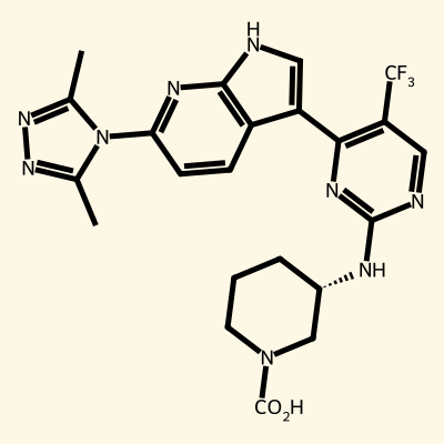 Cc1nnc(C)n1-c1ccc2c(-c3nc(N[C@H]4CCCN(C(=O)O)C4)ncc3C(F)(F)F)c[nH]c2n1